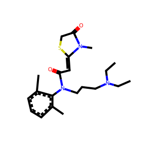 CCN(CC)CCCN(C(=O)/C=C1\SCC(=O)N1C)c1c(C)cccc1C